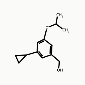 CC(C)Oc1cc(CO)cc(C2CC2)c1